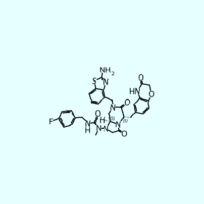 CN(C(=O)NCc1ccc(F)cc1)N1CC(=O)N2[C@@H](Cc3ccc4c(c3)NC(=O)CO4)C(=O)N(Cc3cccc4sc(N)nc34)C[C@@H]21